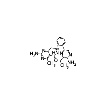 CCc1nc(-c2ccccc2[C@H]2Cc3nc(N)nc(C)c3C(=O)N2)cnc1N